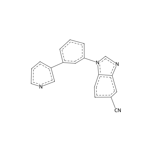 N#Cc1ccc2c(c1)ncn2-c1cccc(-c2cccnc2)c1